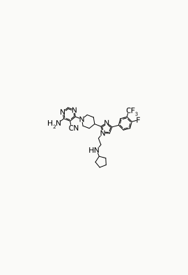 N#Cc1c(N)ncnc1N1CCC(c2nc(-c3ccc(F)c(C(F)(F)F)c3)cn2CCNC2CCCC2)CC1